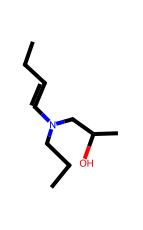 CC/C=C/N(CCC)CC(C)O